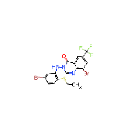 CCSc1ccc(Br)cc1Nn1cnc2c(Br)cc(C(F)(F)F)cc2c1=O